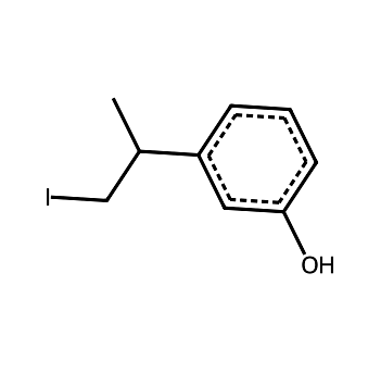 CC(CI)c1cccc(O)c1